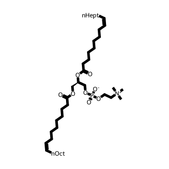 CCCCCCC/C=C\CCCCCCCC(=O)O[C@H](COC(=O)CCCCCCC/C=C\CCCCCCCC)COP(=O)([O-])OCC[N+](C)(C)C